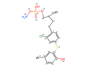 CCCC(CCc1ccc(Sc2cc(C(C)C)ccc2O)cc1Cl)COP(=O)(O)ON